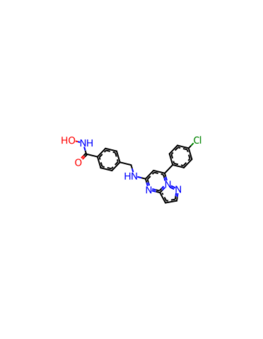 O=C(NO)c1ccc(CNc2cc(-c3ccc(Cl)cc3)n3nccc3n2)cc1